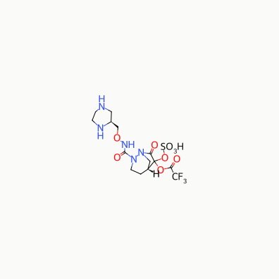 O=C(NOC[C@@H]1CNCCN1)N1CC[C@@H]2CN1C(=O)C2(OC(=O)C(F)(F)F)OS(=O)(=O)O